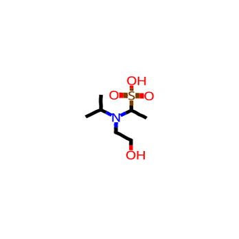 CC(C)N(CCO)C(C)S(=O)(=O)O